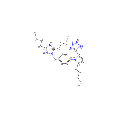 CCCCCc1ccc(-c2nnn[nH]2)n1-c1ccc(Cn2nc(CCCC)nc2CCCC)cc1